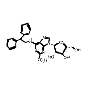 O=C(O)c1nc(NCC(c2ccccc2)c2ccccc2)c2ncn([C@@H]3O[C@H](CO)[C@@H](O)[C@@H]3O)c2n1